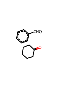 O=C1CCCCC1.O=Cc1ccccc1